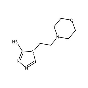 Sc1nncn1CCN1CCOCC1